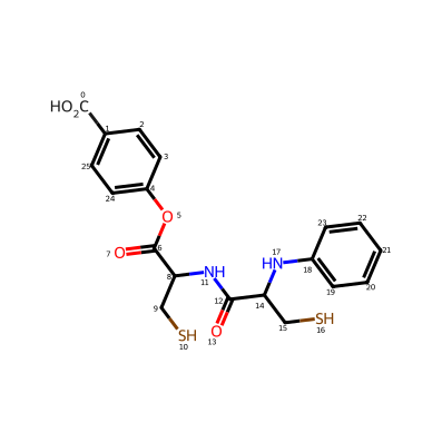 O=C(O)c1ccc(OC(=O)C(CS)NC(=O)C(CS)Nc2ccccc2)cc1